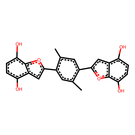 Cc1cc(-c2cc3c(O)ccc(O)c3o2)c(C)cc1-c1cc2c(O)ccc(O)c2o1